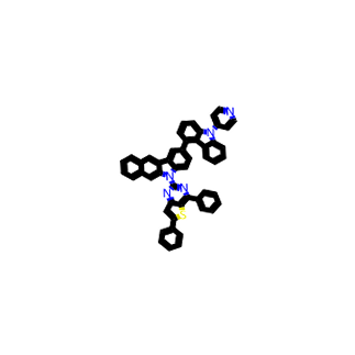 c1ccc(-c2cc3nc(-n4c5ccc(-c6cccc7c6c6ccccc6n7-c6ccncc6)cc5c5cc6ccccc6cc54)nc(-c4ccccc4)c3s2)cc1